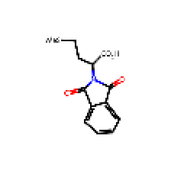 CSCCC(C(=O)O)N1C(=O)c2ccccc2C1=O